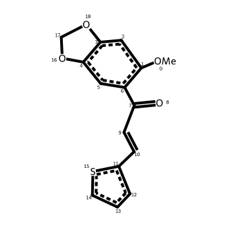 COc1cc2c(cc1C(=O)C=Cc1cccs1)OCO2